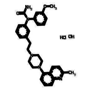 COc1cccc(N(C(N)=O)c2cccc(CCN3CCN(c4cccc5nc(C)ccc45)CC3)c2)c1.Cl.Cl